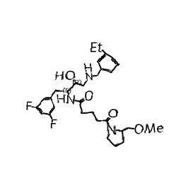 CCc1cccc(CNC[C@@H](O)[C@H](Cc2cc(F)cc(F)c2)NC(=O)CCCC(=O)N2CCCC2COC)c1